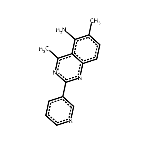 Cc1ccc2nc(-c3cccnc3)nc(C)c2c1N